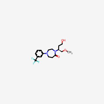 COC[C@H](CCO)N1CCN(c2cccc(C(F)(F)F)c2)CCC1=O